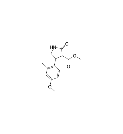 COC(=O)C1C(=O)NCC1c1ccc(OC)cc1C